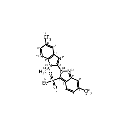 CCS(=O)(=O)c1c2ccc(C(F)(F)F)cc2nn1-c1nc2cc(C(F)(F)F)cnc2n1C